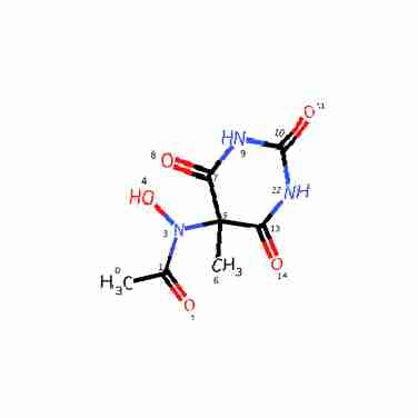 CC(=O)N(O)C1(C)C(=O)NC(=O)NC1=O